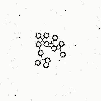 c1ccc(N(c2ccc(-c3ccc4c(c3)C3(c5ccccc5-4)c4ccccc4-c4c3ccc3c5ccc6c(c7ccccc7n6-c6ccccc6)c5n(-c5ccccc5)c43)cc2)c2cccc3ccccc23)cc1